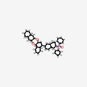 O=P(c1ccccc1)(c1ccccc1)c1ccc2cc(-c3cc4c(c5ccccc35)Oc3cc5ccccc5cc3O4)ccc2c1